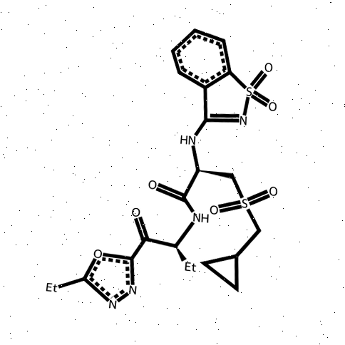 CCc1nnc(C(=O)[C@H](CC)NC(=O)[C@H](CS(=O)(=O)CC2CC2)NC2=NS(=O)(=O)c3ccccc32)o1